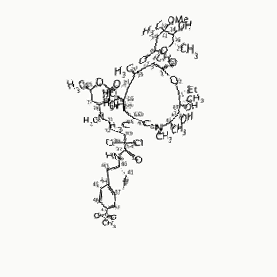 CC[C@H]1OC(=O)[C@H](C)[C@@H](O[C@H]2C[C@@](C)(OC)[C@@H](O)[C@H](C)O2)[C@H](C)[C@@H](O[C@@H]2O[C@H](C)C[C@H](N(C)CCCC(Cl)(Cl)C(=O)N[C@H](CF)Cc3ccc(S(C)(=O)=O)cc3)[C@H]2O)[C@](C)(O)C[C@@H](C)CN(C)[C@H](C)[C@@H](O)[C@]1(C)O